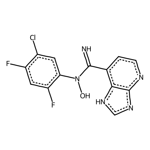 N=C(c1ccnc2nc[nH]c12)N(O)c1cc(Cl)c(F)cc1F